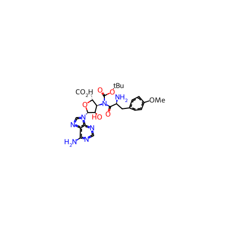 COc1ccc(C[C@H](N)C(=O)N(C(=O)OC(C)(C)C)[C@H]2[C@@H](O)[C@H](n3cnc4c(N)ncnc43)O[C@@H]2C(=O)O)cc1